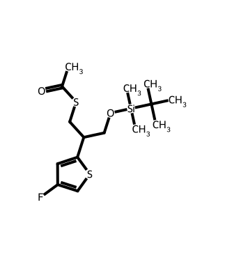 CC(=O)SCC(CO[Si](C)(C)C(C)(C)C)c1cc(F)cs1